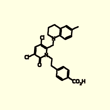 Cc1ccc2c(c1)CCCN2Cc1c(Cl)cc(Cl)c(=O)n1CCc1ccc(C(=O)O)cc1